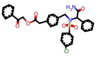 NC(=O)C(c1ccccc1)N(Cc1ccc(CC(=O)OCC(=O)c2ccccc2)cc1)S(=O)(=O)c1ccc(Cl)cc1